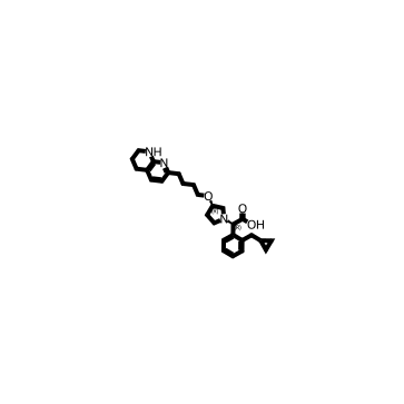 O=C(O)[C@@H](c1ccccc1CC1CC1)N1CC[C@@H](OCCCCc2ccc3c(n2)NCCC3)C1